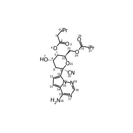 CC(C)CC(=O)O[C@H]1[C@@H](O)C[C@](C#N)(c2ccc3c(N)ncnn23)O[C@@H]1COC(=O)C(C)C